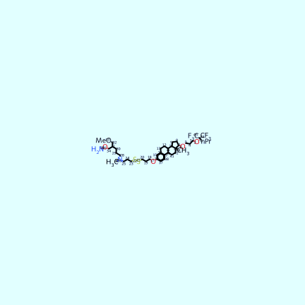 CCCC(OCCCOC1CCC2C3CCc4cc(OCCCSSCCCN(C)CCCC(COC)CON)ccc4C3CCC12C)(C(F)(F)F)C(F)(F)F